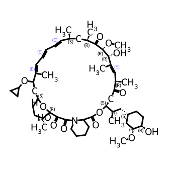 CO[C@@H]1C[C@H](C[C@@H](C)[C@@H]2CC(=O)[C@H](C)/C=C(\C)[C@@H](O)[C@@H](OC)C(=O)[C@H](C)C[C@H](C)/C=C/C=C/C=C(\C)C(OC3CC3)C[C@@H]3CC[C@@H](C)[C@@](O)(O3)C(=O)C(=O)N3CCCCC3C(=O)O2)CC[C@H]1O